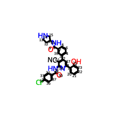 N#Cc1c(-c2cccc(C(=O)NC3CCNC3)c2)cc(-c2ccccc2O)nc1NC(=O)c1ccc(Cl)cc1